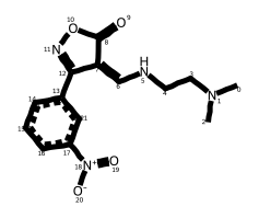 CN(C)CCN/C=C1\C(=O)ON=C1c1cccc([N+](=O)[O-])c1